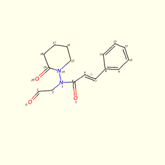 O=[C]CN(C(=O)/C=C/c1ccccc1)N1CCCCC1=O